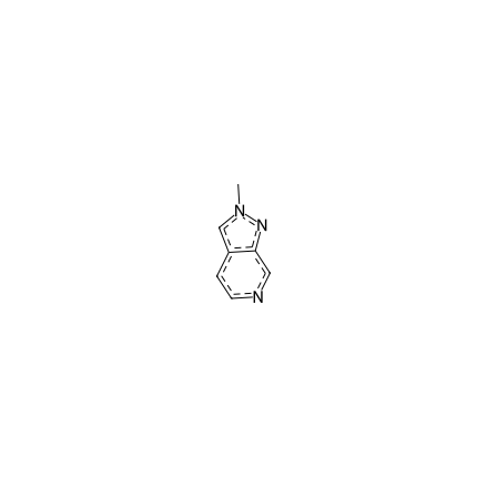 Cn1cc2ccncc2n1